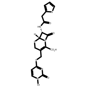 CCn1ccc(SCC2=C(C(=O)O)N3C(=O)[C@@H](NC(=O)Cc4cccs4)[C@H]3SC2)nc1=O